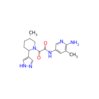 Cc1cc(NC(=O)C(=O)N2C[C@@H](C)CCC2c2cn[nH]c2)cnc1N